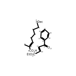 CCCCCCCCCCCCCCC=C(C)C(=O)O.CCOC(=O)C=CC(=O)c1ccccc1